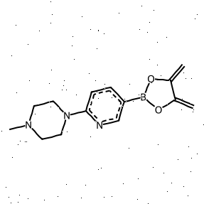 C=C1OB(c2ccc(N3CCN(C)CC3)nc2)OC1=C